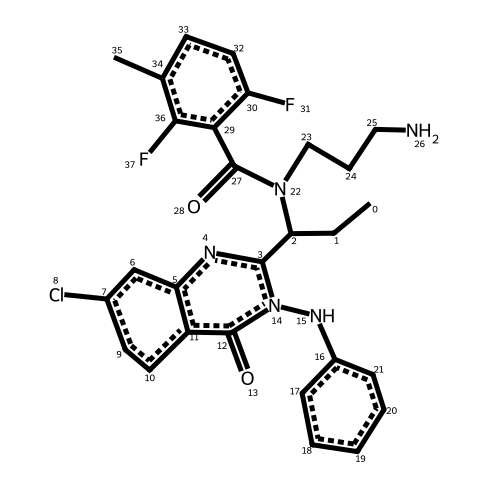 CCC(c1nc2cc(Cl)ccc2c(=O)n1Nc1ccccc1)N(CCCN)C(=O)c1c(F)ccc(C)c1F